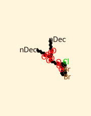 CCCCCCCCCCCCCCCC(=O)OCC(COC(=O)CCCCCCCCCCCCCCC)OC(=O)CCCC(=O)Oc1cc(Cl)ccc1Oc1ccc(Br)cc1Br